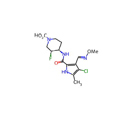 CO/N=C/c1c(C(=O)N[C@@H]2CCN(C(=O)O)C[C@@H]2F)[nH]c(C)c1Cl